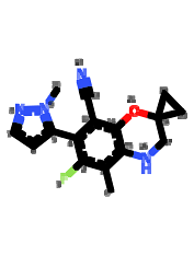 Cc1c(F)c(-c2ccnn2C)c(C#N)c2c1NCC1(CC1)O2